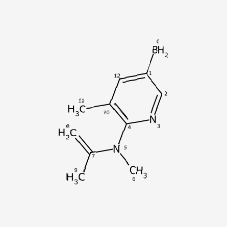 Bc1cnc(N(C)C(=C)C)c(C)c1